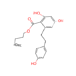 CCCCCCCCCCCCCOC(=O)c1c(O)cc(O)cc1CCc1ccc(O)cc1